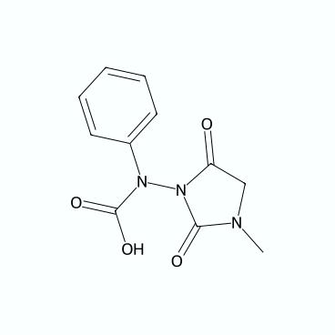 CN1CC(=O)N(N(C(=O)O)c2ccccc2)C1=O